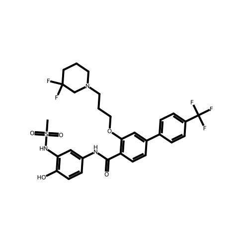 CS(=O)(=O)Nc1cc(NC(=O)c2ccc(-c3ccc(C(F)(F)F)cc3)cc2OCCCN2CCCC(F)(F)C2)ccc1O